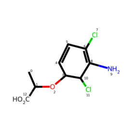 CC(OC1C=CC(Cl)=C(N)C1Cl)C(=O)O